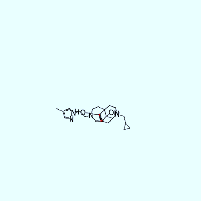 Cc1cnn(CCN2CCC34CCN(CC5CC5)C(Cc5ccc(O)cc53)C4(O)CC2)c1